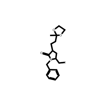 CC1(CCC2CC(CI)N(Cc3ccccc3)C2=O)OCCO1